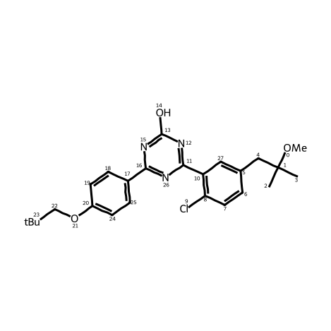 COC(C)(C)Cc1ccc(Cl)c(-c2nc(O)nc(-c3ccc(OCC(C)(C)C)cc3)n2)c1